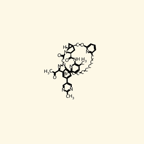 CC(=O)c1nn2c3c(cc(-c4cnc(C)nc4)cc13)CCCCCCCc1cccc(n1)OC[C@@]13C[C@@H](C(=O)Nc4nc(Br)ccc4C)N(C(=O)C2)[C@@H]1C3